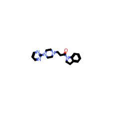 O=C(CCN1CCN(c2ncccn2)CC1)N1CCc2ccccc21